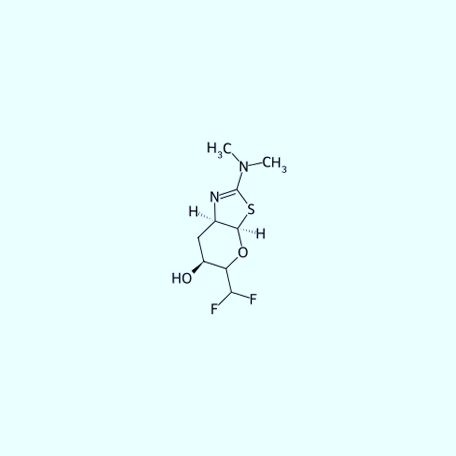 CN(C)C1=N[C@@H]2C[C@H](O)C(C(F)F)O[C@@H]2S1